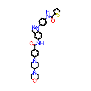 O=C(Nc1ccc2c(cnn2-c2ccc(NC(=O)c3cccs3)cc2)c1)c1ccc(N2CCC(N3CCOCC3)CC2)cc1